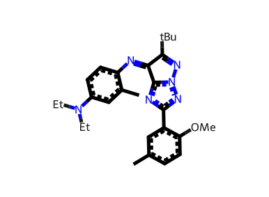 CCN(CC)c1ccc(/N=C2/C(C(C)(C)C)=Nn3nc(-c4cc(C)ccc4OC)nc32)c(C)c1